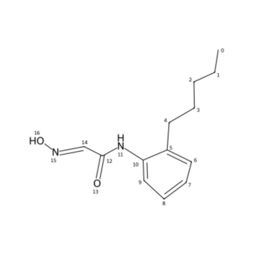 CCCCCc1ccccc1NC(=O)C=NO